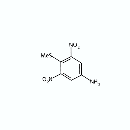 CSc1c([N+](=O)[O-])cc(N)cc1[N+](=O)[O-]